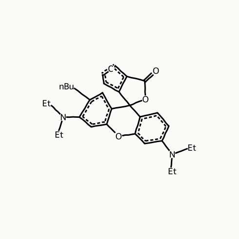 CCCCc1cc2c(cc1N(CC)CC)Oc1cc(N(CC)CC)ccc1C21OC(=O)c2ccccc21